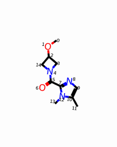 COC1CN(C(=O)c2ncc(C)n2C)C1